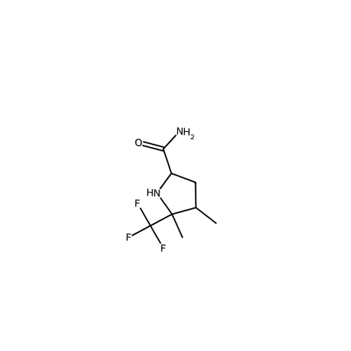 CC1CC(C(N)=O)NC1(C)C(F)(F)F